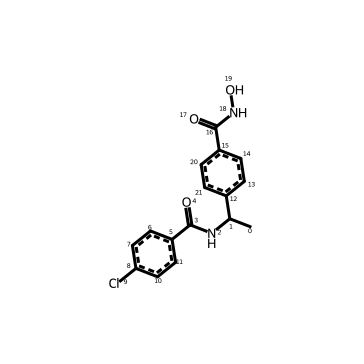 CC(NC(=O)c1ccc(Cl)cc1)c1ccc(C(=O)NO)cc1